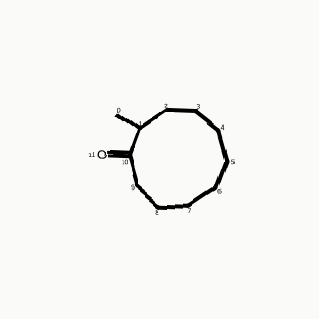 CC1CCCCCCCCC1=O